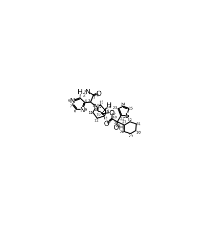 NC(=O)C(c1cnccn1)[N+]12CCC(CC1)[C@@H](OC(=O)C(O)(c1cccs1)C1CCCCC1)C2